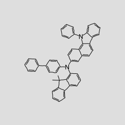 CC1(C)c2ccccc2-c2cccc(N(c3ccc(-c4ccccc4)cc3)c3ccc4c(ccc5c6ccccc6n(-c6ccccc6)c45)c3)c21